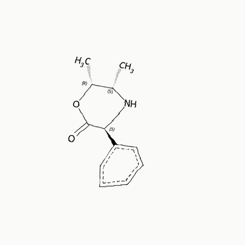 C[C@@H]1N[C@@H](c2ccccc2)C(=O)O[C@@H]1C